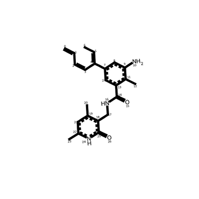 C=C/C=C\C(=C/C)c1cc(N)c(C)c(C(=O)NCc2c(C)cc(C)[nH]c2=O)c1